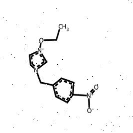 CCO[n+]1ccn(Cc2ccc([N+](=O)[O-])cc2)c1